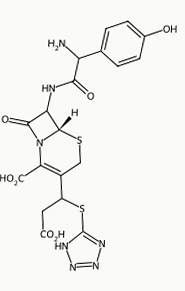 NC(C(=O)NC1C(=O)N2C(C(=O)O)=C(C(CC(=O)O)Sc3nnn[nH]3)CS[C@@H]12)c1ccc(O)cc1